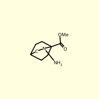 COC(=O)C12CCC(CC1)CN2N